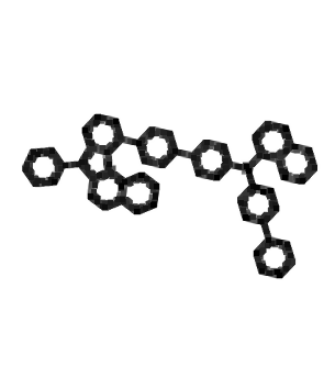 c1ccc(-c2ccc(N(c3ccc(-c4ccc(-c5cccc6c(-c7ccccc7)c7ccc8ccccc8n7c56)cc4)cc3)c3cccc4ccccc34)cc2)cc1